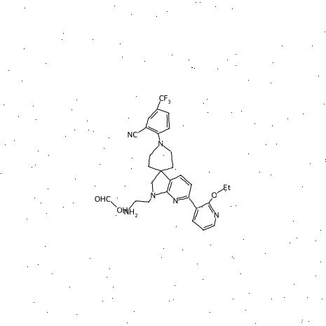 CCOc1ncccc1-c1ccc2c(n1)N(CCN)CC21CCN(c2ccc(C(F)(F)F)cc2C#N)CC1.O=CO